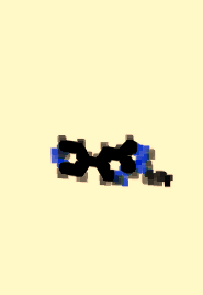 CCCn1ncc2cc(-c3ccncc3)cnc21